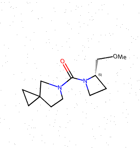 COC[C@@H]1CCN1C(=O)N1CCC2(CC2)C1